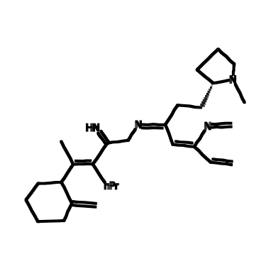 C=C/C(=C/C(CC[C@@H]1CCCN1C)=N\CC(=N)/C(CCC)=C(\C)C1CCCCC1=C)N=C